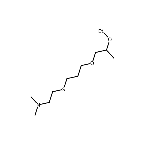 CCOC(C)COCCCSCCN(C)C